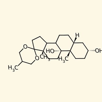 CC1COC2(CCC3C4CC[C@@H]5C[C@H](O)CC[C@]5(C)[C@@]4(O)CC[C@@]32C)OC1